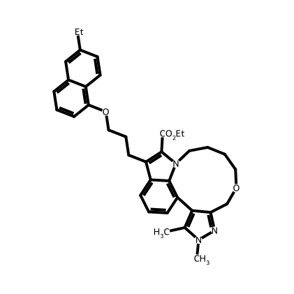 CCOC(=O)c1c(CCCOc2cccc3cc(CC)ccc23)c2cccc3c2n1CCCCOCc1nn(C)c(C)c1-3